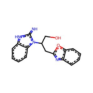 N=c1[nH]c2ccccc2n1C(CO)Cc1nc2ccccc2o1